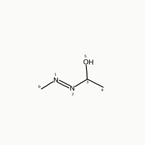 CN=NC(C)O